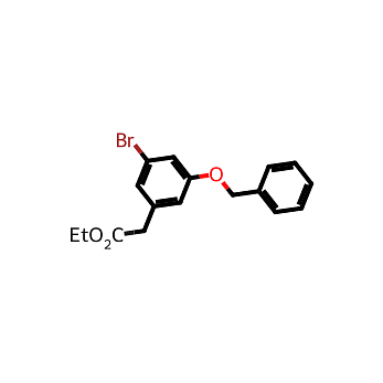 CCOC(=O)Cc1cc(Br)cc(OCc2ccccc2)c1